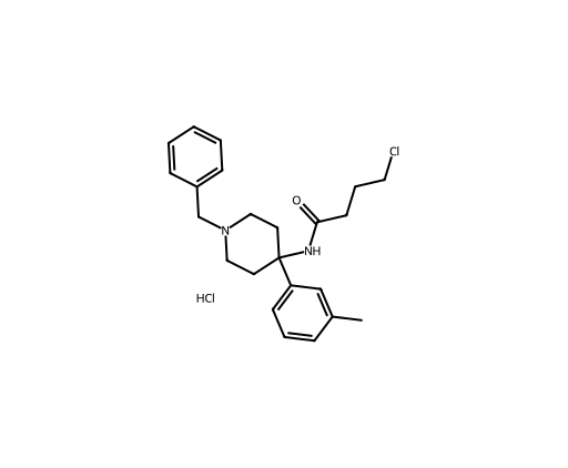 Cc1cccc(C2(NC(=O)CCCCl)CCN(Cc3ccccc3)CC2)c1.Cl